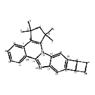 CC1(C)CC(C)(C)c2c1c1ccccc1c1nc3cc4c(cc3n21)C1CCC41